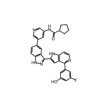 O=C(Nc1cncc(-c2ccc3[nH]nc(-c4cc5c(-c6cc(O)cc(F)c6)nccc5[nH]4)c3c2)c1)C1CCCC1